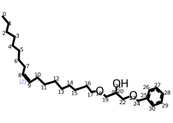 CCCCCCCC/C=C\CCCCCCCCOC[C@@H](O)COCc1ccccc1